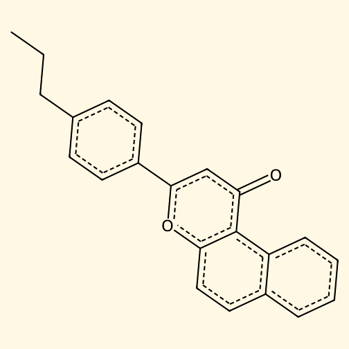 CCCc1ccc(-c2cc(=O)c3c(ccc4ccccc43)o2)cc1